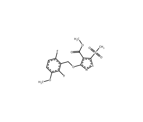 COC(=O)c1c(OCc2c(F)ccc(OC)c2F)nsc1S(C)(=O)=O